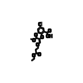 CCOC(=O)CCOC=C(Oc1ccc(Cl)cc1C(=O)O)C(=O)OC